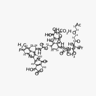 CC(=O)CCOCCC(=O)N[C@H](C(=O)N[C@@H](C)C(=O)Nc1ccc(COC(=O)N[C@H]2CCc3c(C)c(F)cc4nc5c(c2c34)Cn2c-5cc3c(c2=O)COC(=O)C3O)cc1O[C@@H]1O[C@H](C(=O)O)[C@@H](O)[C@H](O)[C@H]1O)C(C)C